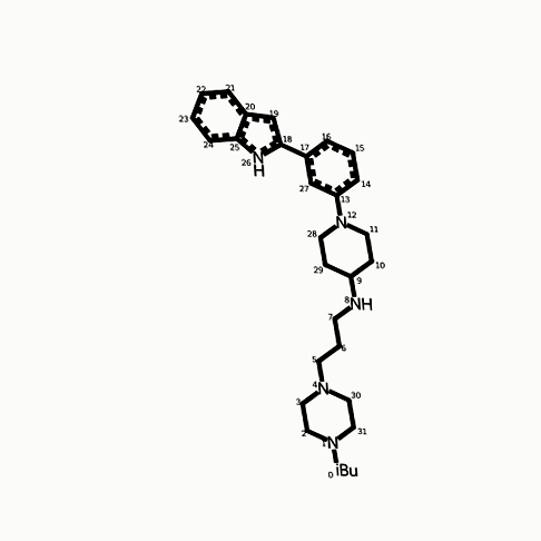 CCC(C)N1CCN(CCCNC2CCN(c3cccc(-c4cc5ccccc5[nH]4)c3)CC2)CC1